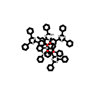 C=C/C=C\CC1B(c2ccccc2N(C)c2ccccc2)c2ccccc2N(c2ccccc2)/C=C/C=C\1N(C)/C(=N\C(=N)c1ccccc1)c1cc(-c2nc(-c3ccccc3)cc(-c3ccccc3)n2)ccc1-n1c2ccc(-c3nc(-c4ccccc4)nc(-c4ccccc4)n3)cc2c2cc(-c3nc(-c4ccccc4)nc(-c4ccccc4)n3)ccc21